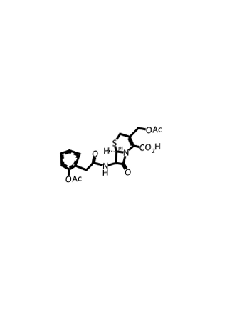 CC(=O)OCC1=C(C(=O)O)N2C(=O)C(NC(=O)Cc3ccccc3OC(C)=O)[C@H]2SC1